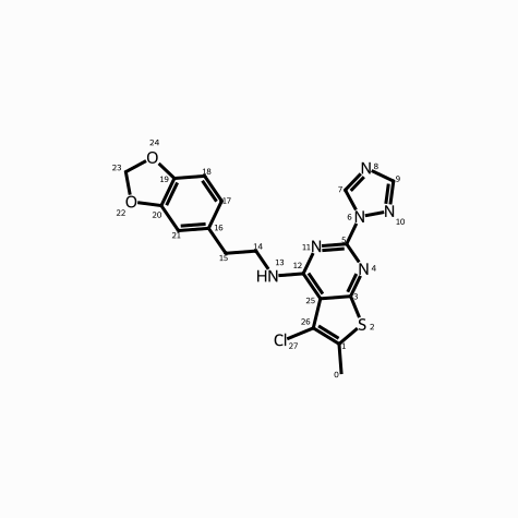 Cc1sc2nc(-n3cncn3)nc(NCCc3ccc4c(c3)OCO4)c2c1Cl